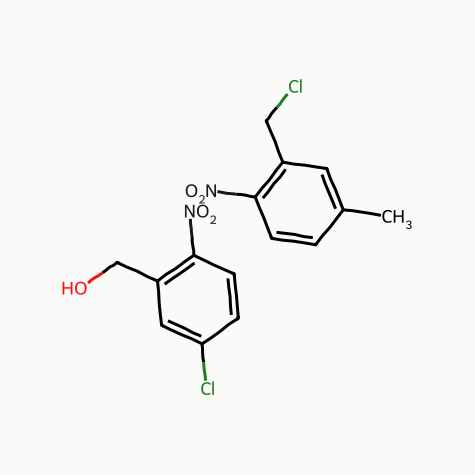 Cc1ccc([N+](=O)[O-])c(CCl)c1.O=[N+]([O-])c1ccc(Cl)cc1CO